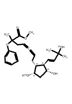 COC(=O)C(C)(CC=C=CC[C@@H]1[C@@H](C=CC(C)(C)[16OH])[C@H]([16OH])C[C@@H]1[16OH])Oc1ccccc1